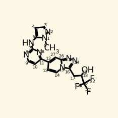 Cn1nccc1Nc1nccc(-c2ccn3c(CC(O)C(F)(F)F)nnc3c2)n1